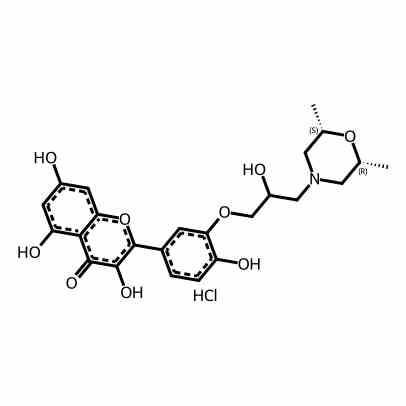 C[C@@H]1CN(CC(O)COc2cc(-c3oc4cc(O)cc(O)c4c(=O)c3O)ccc2O)C[C@H](C)O1.Cl